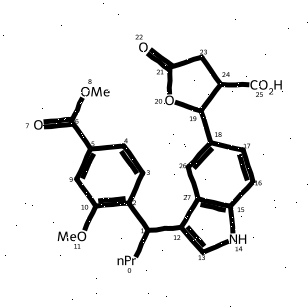 CCCC(c1ccc(C(=O)OC)cc1OC)c1c[nH]c2ccc(C3OC(=O)CC3C(=O)O)cc12